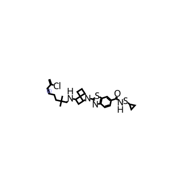 C=C(Cl)/C=C\CCC(C)(C)CNC1CC2N(c3nc4ccc(C(=O)NSC5CC5)cc4s3)C3CCC132